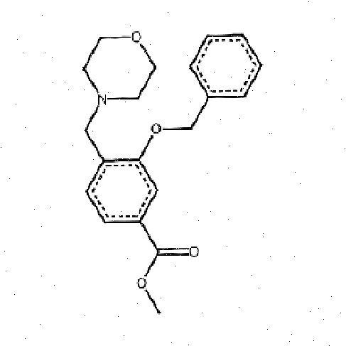 COC(=O)c1ccc(CN2CCOCC2)c(OCc2ccccc2)c1